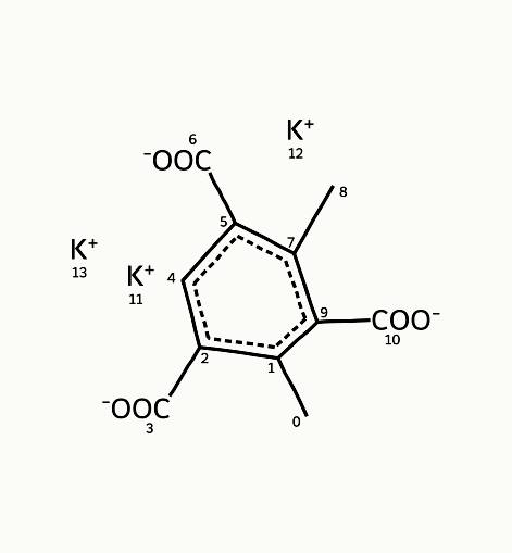 Cc1c(C(=O)[O-])cc(C(=O)[O-])c(C)c1C(=O)[O-].[K+].[K+].[K+]